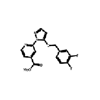 COC(=O)c1ccnc(-n2nccc2OCc2ccc(F)c(F)c2)c1